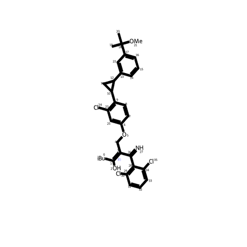 CCC(C)/C(O)=C(\COc1ccc(C2CC2c2cccc(C(C)(C)OC)c2)c(Cl)c1)C(=N)c1c(Cl)cccc1Cl